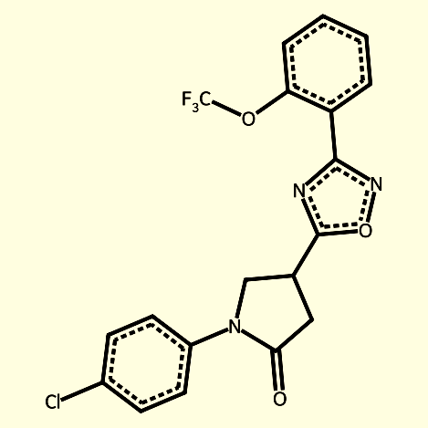 O=C1CC(c2nc(-c3ccccc3OC(F)(F)F)no2)CN1c1ccc(Cl)cc1